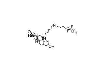 CN(CCCCCC[C@H]1C[C@@]2(C)[C@@H](CC3OC(=O)C[C@@]32O)[C@@H]2CCc3cc(O)ccc3[C@@H]12)CCCCCCC(F)(F)C(F)(F)F